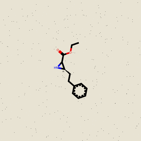 CCOC(=O)C1N[C@@H]1CCc1ccccc1